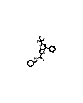 O=C(NCC1CCCCC1)c1cc2nc(C(F)(F)F)cc(-c3ccccc3)n2n1